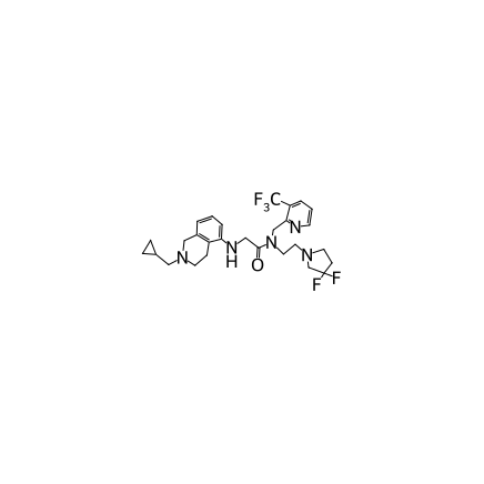 O=C(CNc1cccc2c1CCN(CC1CC1)C2)N(CCN1CCC(F)(F)C1)Cc1ncccc1C(F)(F)F